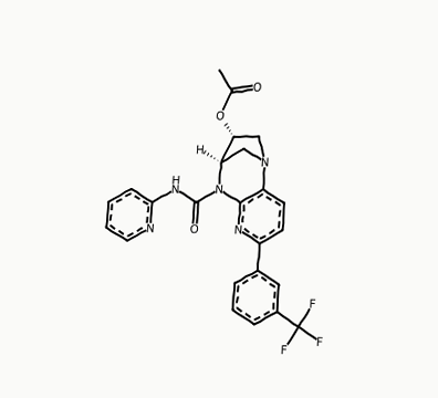 CC(=O)O[C@@H]1CN2C[C@H]1N(C(=O)Nc1ccccn1)c1nc(-c3cccc(C(F)(F)F)c3)ccc12